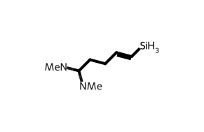 CNC(CCC=C[SiH3])NC